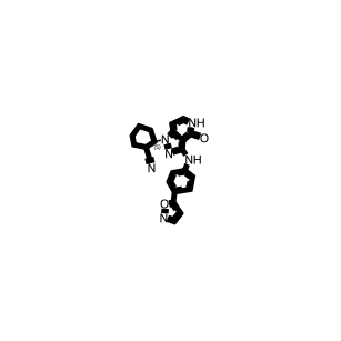 N#CC1CCCC[C@@H]1n1nc(Nc2ccc(-c3ccno3)cc2)c2c(=O)[nH]ccc21